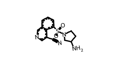 N#Cc1cncc2cccc(S(=O)(=O)N3CCC(N)C3)c12